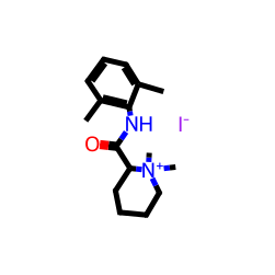 Cc1cccc(C)c1NC(=O)C1CCCC[N+]1(C)C.[I-]